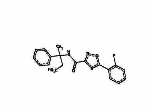 CC(CC(=O)O)(NC(=O)c1noc(-c2ccccc2F)n1)c1ccccc1